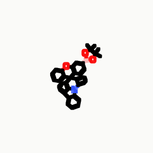 CC1(C)OB(c2ccc3c(c2)Oc2ccccc2C32c3ccccc3-n3c4ccccc4c4cccc2c43)OC1(C)C